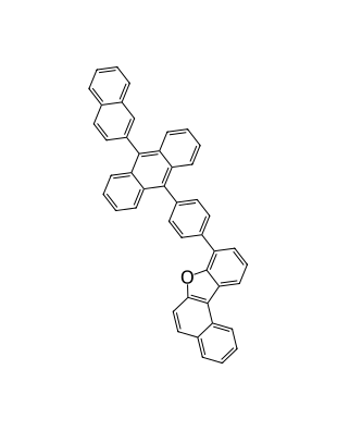 c1ccc2cc(-c3c4ccccc4c(-c4ccc(-c5cccc6c5oc5ccc7ccccc7c56)cc4)c4ccccc34)ccc2c1